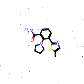 Cc1cnc(-c2cccc(C(N)=O)c2N2CCCC2)s1